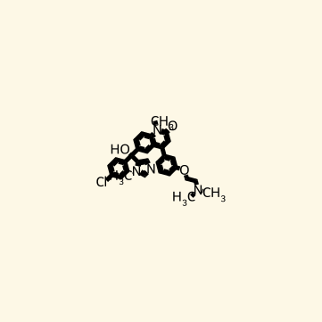 CN(C)CCOc1cccc(-c2cc(=O)n(C)c3ccc(C(O)(c4ccc(Cl)cc4)c4cncn4C)cc23)c1